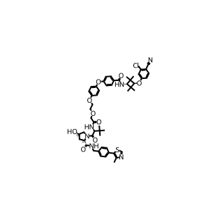 Cc1ncsc1-c1ccc(CNC(=O)[C@@H]2C[C@@H](O)CN2C(=O)C(NC(=O)COCCOc2ccc(Oc3ccc(C(=O)N[C@H]4C(C)(C)[C@H](Oc5ccc(C#N)c(Cl)c5)C4(C)C)cc3)cc2)C(C)(C)C)cc1